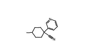 CC1CCC(C#N)(c2cccnc2)CC1